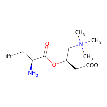 CC(C)C[C@H](N)C(=O)O[C@H](CC(=O)[O-])C[N+](C)(C)C